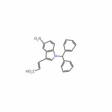 O=C(O)C=Cc1cn(C(c2ccccc2)c2ccccc2)c2ccc([N+](=O)[O-])cc12